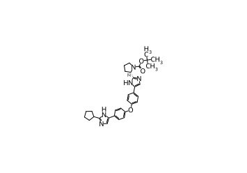 CC(C)(C)OC(=O)N1CCC[C@H]1c1ncc(-c2ccc(Oc3ccc(-c4cnc(C5CCCC5)[nH]4)cc3)cc2)[nH]1